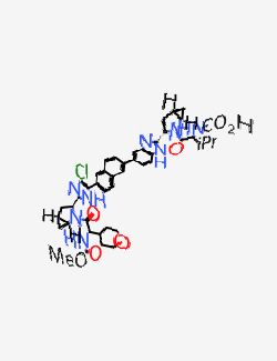 COC(=O)N[C@H](C(=O)N1[C@@H]2C[C@@H]2C[C@H]1c1nc(Cl)c(-c2ccc3cc(-c4ccc5[nH]c([C@@H]6C[C@H]7C[C@H]7N6C(=O)[C@@H](NC(=O)O)C(C)C)nc5c4)ccc3c2)[nH]1)C1CCOCC1